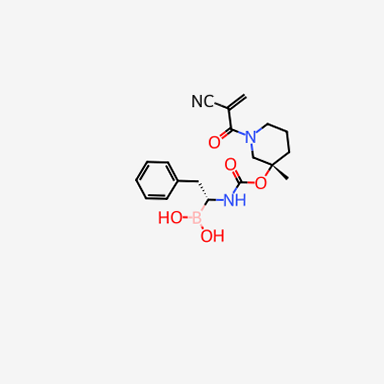 C=C(C#N)C(=O)N1CCC[C@](C)(OC(=O)N[C@@H](Cc2ccccc2)B(O)O)C1